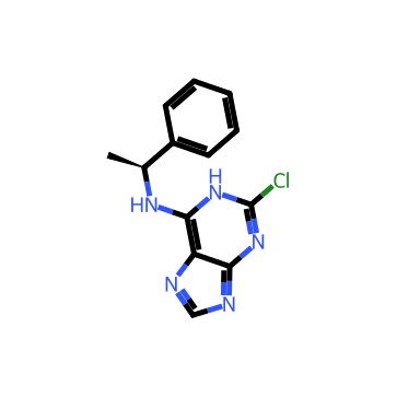 C[C@H](Nc1[nH]c(Cl)nc2ncnc1-2)c1ccccc1